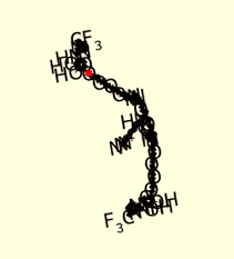 [N-]=[N+]=NCCCCCC(=O)NC(COCc1cn(CCOCCOCCOCCOC[C@H]2OC[C@H](Nc3nccc(C(F)(F)F)n3)[C@@H](O)[C@H]2O)nn1)COCc1cn(CCOCCOCCOCCOC[C@H]2OC[C@H](Nc3nccc(C(F)(F)F)n3)[C@@H](O)[C@H]2O)nn1